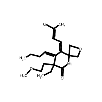 CCC/C=C1/C(=C\C=C(/C)Cl)C2(COC2)NC(=O)C1(CC)CCOC